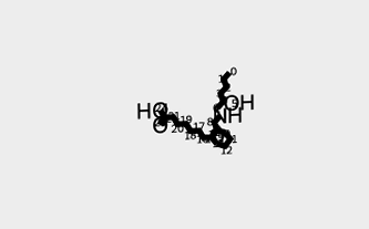 CCCCC(O)CNCC1C2CCC(O2)C1CCCCCCC(=O)O